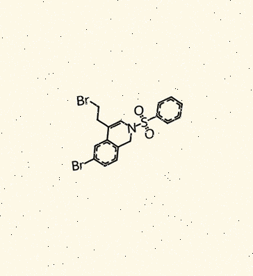 O=S(=O)(c1ccccc1)N1C=C(CCBr)c2cc(Br)ccc2C1